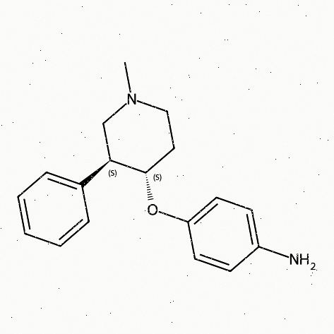 CN1CC[C@H](Oc2ccc(N)cc2)[C@@H](c2ccccc2)C1